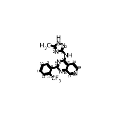 Cc1nc(Nc2nc(-c3ccccc3C(F)(F)F)nc3cnccc23)n[nH]1